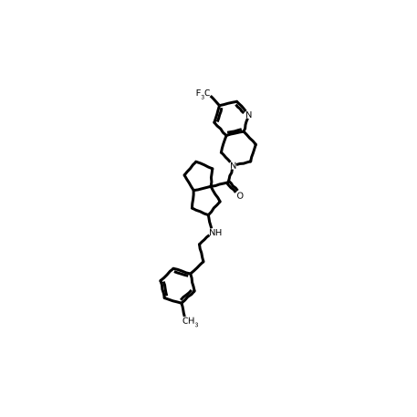 Cc1cccc(CCNC2CC3CCCC3(C(=O)N3CCc4ncc(C(F)(F)F)cc4C3)C2)c1